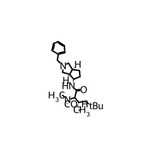 C[C@@H](CC(C)(C)C)C(C(=O)N[C@H]1CC[C@@H]2CN(Cc3ccccc3)C[C@@H]21)N(C)C(=O)O